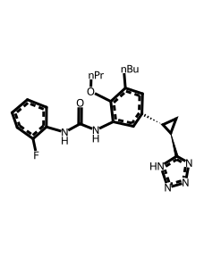 CCCCc1cc([C@@H]2C[C@H]2c2nnn[nH]2)cc(NC(=O)Nc2ccccc2F)c1OCCC